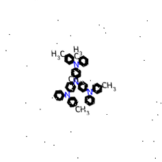 Cc1ccc(N(C2=CC=CCC2C)c2ccc(N(c3ccc(N(c4ccccc4)c4ccc(C)cc4)cc3)C3(C)C=CC(N(c4ccc(C)cc4)C4C=CC=CC4)CC3)cc2)cc1